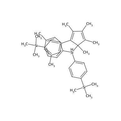 CC1=C(C)C(C)([SiH](c2ccc([Si](C)(C)C)cc2)c2ccc([Si](C)(C)C)cc2)C(c2cc(C)cc(C)c2)=C1C